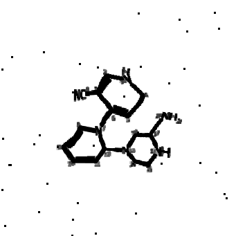 N#CC1=CNCC=C1N1C=CC=C[C@@H]1N1CCNC(N)C1